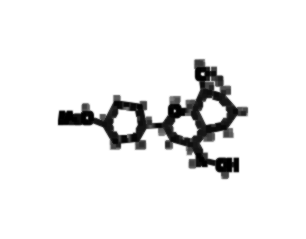 COc1ccc(-c2c/c(=N/O)c3cccc(C)c3o2)cc1